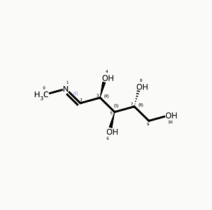 C/N=C/[C@@H](O)[C@H](O)[C@H](O)CO